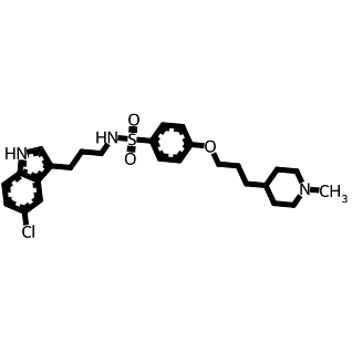 CN1CCC(CCCOc2ccc(S(=O)(=O)NCCCc3c[nH]c4ccc(Cl)cc34)cc2)CC1